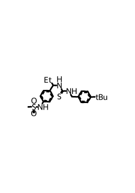 CCC(NC(=S)NCc1ccc(C(C)(C)C)cc1)c1ccc(NS(C)(=O)=O)cc1